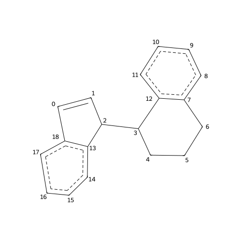 C1=CC(C2CCCc3ccccc32)c2ccccc21